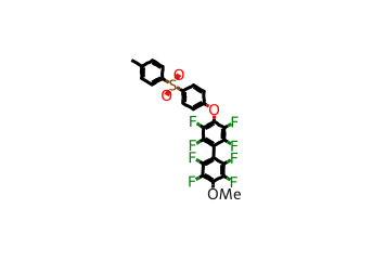 COc1c(F)c(F)c(-c2c(F)c(F)c(Oc3ccc(S(=O)(=O)c4ccc(C)cc4)cc3)c(F)c2F)c(F)c1F